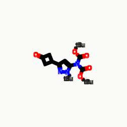 CC(C)(C)OC(=O)N(C(=O)OC(C)(C)C)c1cc(C2CC(=O)C2)nn1C(C)(C)C